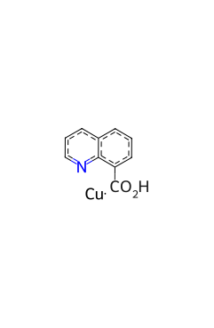 O=C(O)c1cccc2cccnc12.[Cu]